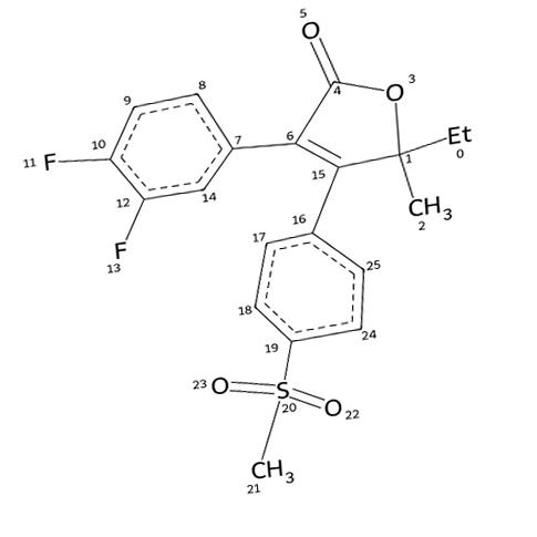 CCC1(C)OC(=O)C(c2ccc(F)c(F)c2)=C1c1ccc(S(C)(=O)=O)cc1